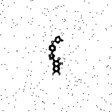 CN1CC[C@@H](Oc2ccc(-n3cc(-c4cc5cc(F)c(F)cc5[nH]c4=O)nn3)cc2)C1